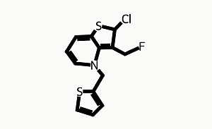 FCC1=C2C(=CC=CN2Cc2cccs2)SC1Cl